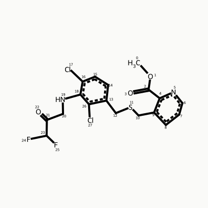 COC(=O)c1ncccc1CSCc1ccc(Cl)c(NCC(=O)C(F)F)c1Cl